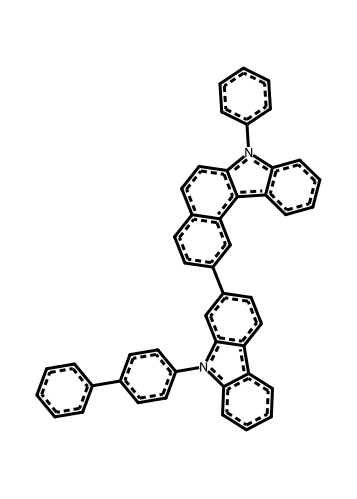 c1ccc(-c2ccc(-n3c4ccccc4c4ccc(-c5ccc6ccc7c(c6c5)c5ccccc5n7-c5ccccc5)cc43)cc2)cc1